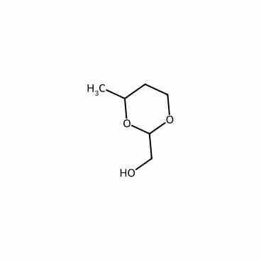 CC1CCOC(CO)O1